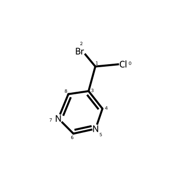 ClC(Br)c1cncnc1